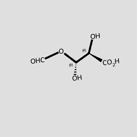 O=CO[C@@H](O)[C@@H](O)C(=O)O